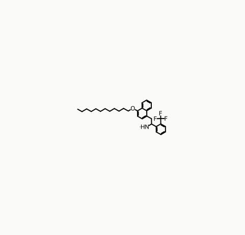 CCCCCCCCCCCCOc1ccc(CC([NH])c2ccccc2C(F)(F)F)c2ccccc12